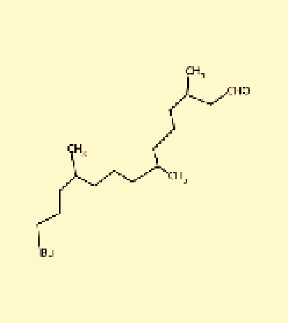 CCC(C)CCCC(C)CCCC(C)CCCC(C)CC=O